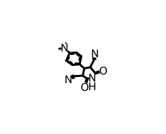 CN(C)c1ccc(C2C(C#N)C(=O)NC(=O)C2C#N)cc1